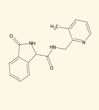 Cc1cccnc1CNC(=O)C1NC(=O)c2ccccc21